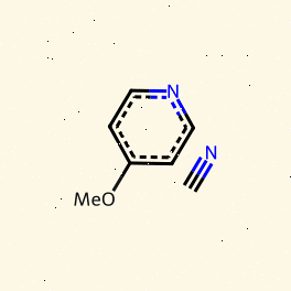 C#N.COc1ccncc1